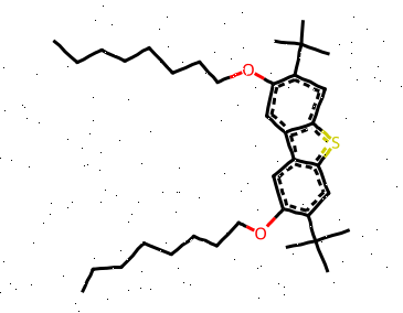 CCCCCCCCOc1cc2c(cc1C(C)(C)C)sc1cc(C(C)(C)C)c(OCCCCCCCC)cc12